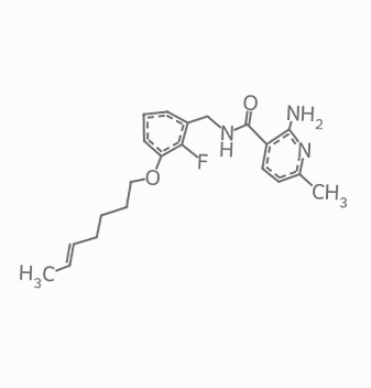 CC=CCCCCOc1cccc(CNC(=O)c2ccc(C)nc2N)c1F